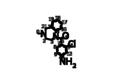 CN1CCN(C(=O)c2ccc(N)cc2Cl)c2ccccc2C1